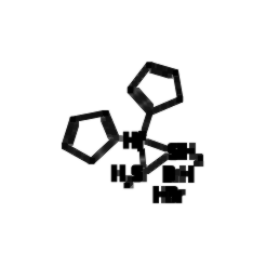 Br.Br.C1=CC[C]([Hf]2([C]3=CC=CC3)[SiH2][SiH2]2)=C1